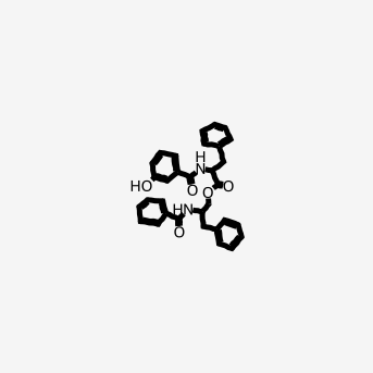 O=C(NC(COC(=O)C(Cc1ccccc1)NC(=O)c1cccc(O)c1)Cc1ccccc1)c1ccccc1